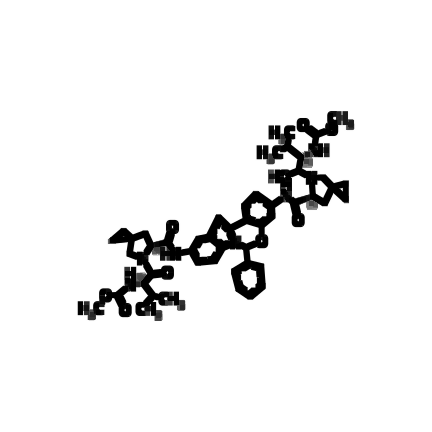 COC(=O)N[C@@H](C(C)C)C(O)N1CC2(CC2)C[C@H]1C(=O)Nc1ccc2c(c1)OC(c1ccccc1)n1c-2cc2cc(NC(=O)[C@@H]3CC4(CC4)CN3C(=O)[C@@H](NC(=O)OC)C(C)C)ccc21